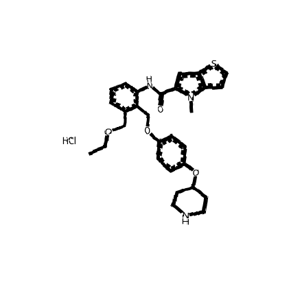 CCOCc1cccc(NC(=O)c2cc3sccc3n2C)c1COc1ccc(OC2CCNCC2)cc1.Cl